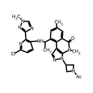 CC(=O)N1CC(n2ncc3c4c(C(C)Nc5ccc(Cl)nc5-c5ncn(C)n5)cc(C)cc4c(=O)n(C)c32)C1